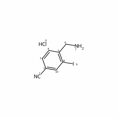 Cl.N#Cc1ccc(CN)c(I)c1